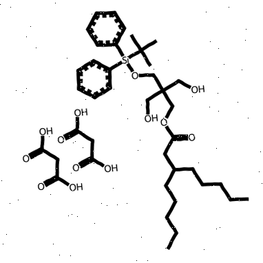 CCCCCC(CCCCC)CC(=O)OCC(CO)(CO)CO[Si](c1ccccc1)(c1ccccc1)C(C)(C)C.O=C(O)CC(=O)O.O=C(O)CC(=O)O